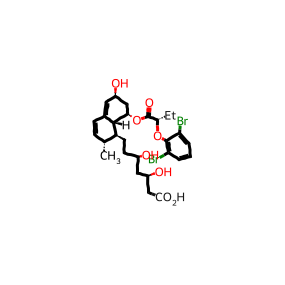 CC[C@H](Oc1c(Br)cccc1Br)C(=O)O[C@H]1C[C@H](O)C=C2C=C[C@@H](C)[C@H](CC[C@@H](O)C[C@@H](O)CC(=O)O)[C@H]21